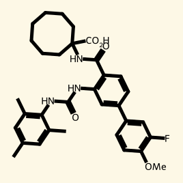 COc1ccc(-c2ccc(C(=O)NC3(C(=O)O)CCCCCCC3)c(NC(=O)Nc3c(C)cc(C)cc3C)c2)cc1F